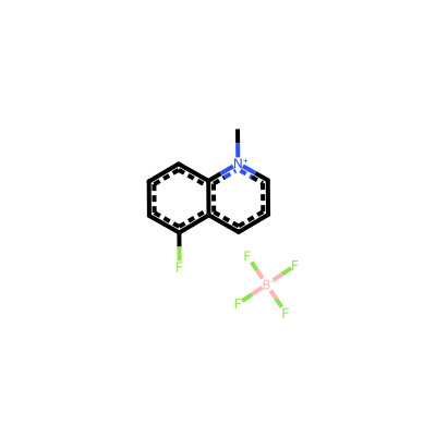 C[n+]1cccc2c(F)cccc21.F[B-](F)(F)F